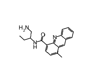 CCC(CN)NC(=O)c1ccc(C)c2cc3ccccc3nc12